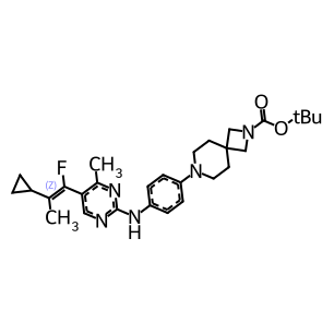 C/C(=C(/F)c1cnc(Nc2ccc(N3CCC4(CC3)CN(C(=O)OC(C)(C)C)C4)cc2)nc1C)C1CC1